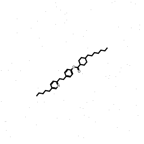 CCCCCCCC1CCC(C(=O)Oc2ccc(CCc3ccc(CCCCC)cn3)cc2)CC1